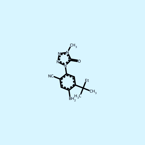 Bc1cc(C#N)c(-n2nnn(C)c2=O)cc1C(C)(C)CC